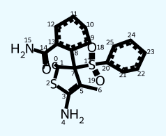 CC(=O)C1SC(N)=C(C)C1(c1ccccc1C(N)=O)S(=O)(=O)c1ccccc1